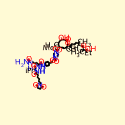 CCC(O)C(C)[C@H]1O[C@@H]1CC(C)/C=C/C=C(\C)[C@H]1OC(=O)C[C@H](O)CC[C@@](C)(OC)[C@@H](OC(=O)N2CCN(C(=O)OCc3ccc(NC(=O)C(CCCNC(N)=O)NC(=O)C(NC(=O)CCCCCN4C(=O)C=CC4=O)C(C)C)cc3)CC2)/C=C/[C@@H]1C